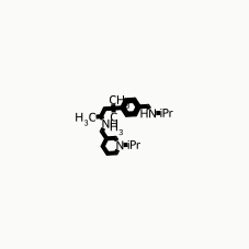 CC(C)NCc1ccc(C(C)(C)CC(C)NCC2CCCN(C(C)C)C2)cc1